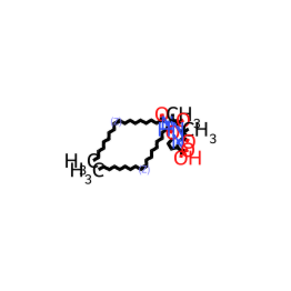 CCCCCCCC/C=C\CCCCCCCC(=O)N(C(=O)CCCCCCC/C=C\CCCCCCCC)C(C)C(=O)NC(C)C(=O)N1CCCC1C(=O)O